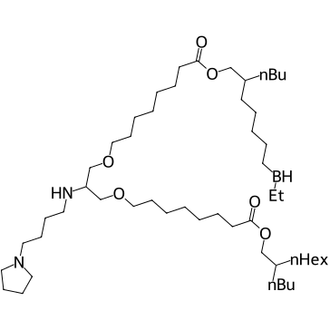 CCBCCCCCC(CCCC)COC(=O)CCCCCCCOCC(COCCCCCCCC(=O)OCC(CCCC)CCCCCC)NCCCCN1CCCC1